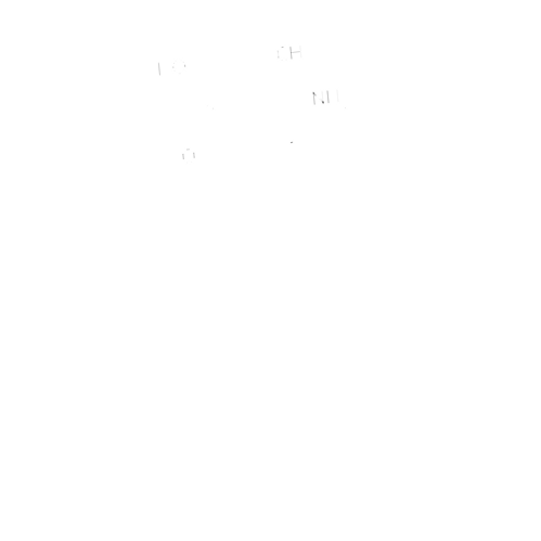 CC(C(=O)O)C1(N)CCCCCCCCCCCCCCCC1